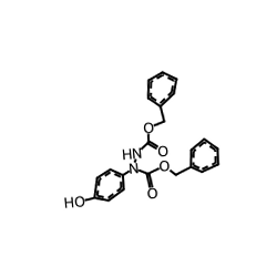 O=C(NN(C(=O)OCc1ccccc1)c1ccc(O)cc1)OCc1ccccc1